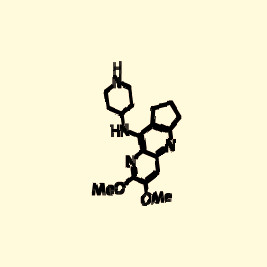 COc1cc2nc3c(c(NC4CCNCC4)c2nc1OC)CCC3